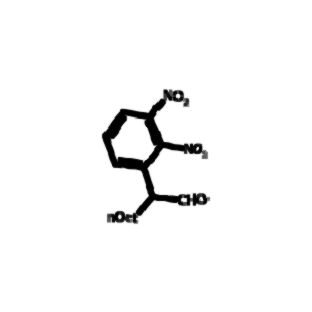 CCCCCCCCC([C]=O)c1cccc([N+](=O)[O-])c1[N+](=O)[O-]